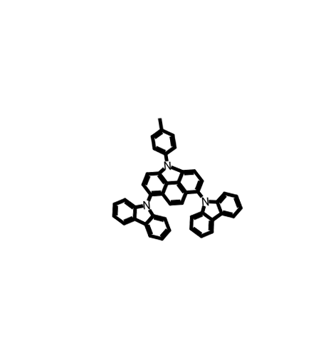 Cc1ccc(-n2c3ccc(-n4c5ccccc5c5ccccc54)c4ccc5c(-n6c7ccccc7c7ccccc76)ccc2c5c43)cc1